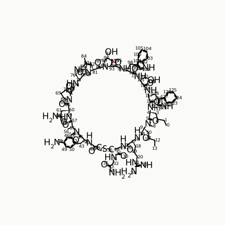 CCCC[C@H]1C(=O)N(C)[C@@H](CCCC)C(=O)N[C@@H](CCCNC(=N)N)C(=O)N[C@H](C(=O)NCC(N)=O)CSCC(=O)N[C@@H](Cc2ccc(N)cc2)C(=O)N(C)[C@@H](C)C(=O)N[C@@H](CC(N)=O)C(=O)N2CCC[C@H]2C(=O)N[C@@H](CN)C(=O)N[C@@H](CC(C)C)C(=O)N2C[C@H](O)C[C@H]2C(=O)N[C@@H](Cc2c[nH]c3ccccc23)C(=O)N[C@@H](CO)C(=O)N[C@@H](Cc2c[nH]c3ccccc23)C(=O)N1C